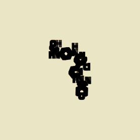 CC(C)(CO)N[C@H]1CC[C@H](Nc2cc(-c3cccc(NCC4(C#N)CCOCC4)n3)c(Cl)cn2)CC1